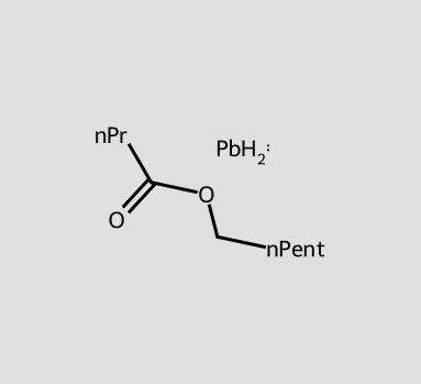 CCCCCCOC(=O)CCC.[PbH2]